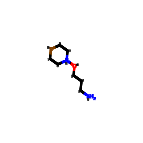 NCCCON1CCSCC1